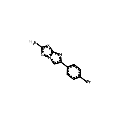 Bc1nn2cc(-c3ccc(C(C)C)cc3)nc2s1